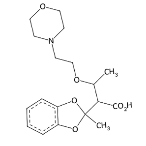 CC(OCCN1CCOCC1)C(C(=O)O)C1(C)Oc2ccccc2O1